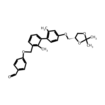 Cc1cc(OC[C@@H]2COC(C)(C)O2)ccc1-c1cccc(COc2ccc(C=O)cc2)c1C